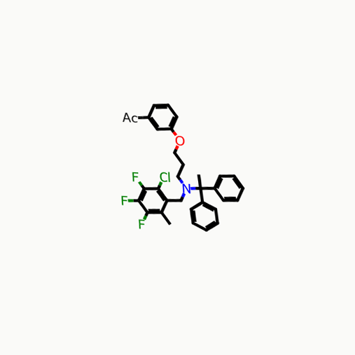 CC(=O)c1cccc(OCCCN(Cc2c(C)c(F)c(F)c(F)c2Cl)C(C)(c2ccccc2)c2ccccc2)c1